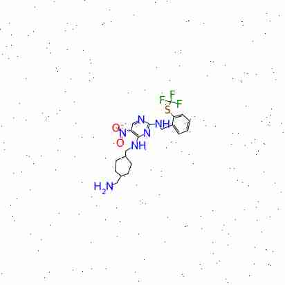 NCC1CCC(CNc2nc(NCc3ccccc3SC(F)(F)F)ncc2[N+](=O)[O-])CC1